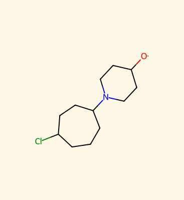 [O]C1CCN(C2CCCC(Cl)CC2)CC1